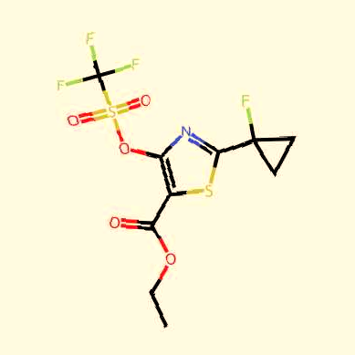 CCOC(=O)c1sc(C2(F)CC2)nc1OS(=O)(=O)C(F)(F)F